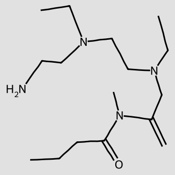 C=C(CN(CC)CCN(CC)CCN)N(C)C(=O)CCC